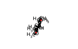 CCOC(=O)c1cn2cc(-c3[nH]c4ccc(C5CCN(C(=O)OC(C)(C)C)CC5)cc4c3C(C)C)cc(C)c2n1